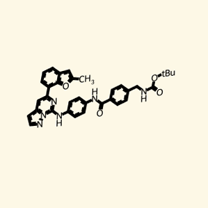 Cc1cc2cccc(-c3cc4ccnn4c(Nc4ccc(NC(=O)c5ccc(CNC(=O)OC(C)(C)C)cc5)cc4)n3)c2o1